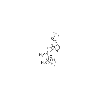 CCOC(=O)Cn1c2c(c3ncccc31)C[C@H](N(C)C(=O)OC(C)(C)C)CC2